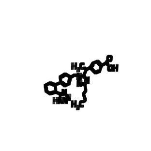 CCCCc1nc(C(C)c2ccc(C(=O)O)cc2)n(Cc2ccc(-c3ccccc3-c3nnn[nH]3)cc2)n1